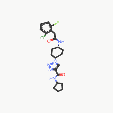 O=C(Cc1c(F)cccc1Cl)N[C@H]1CC[C@@H](n2cc(C(=O)NC3CCCC3)nn2)CC1